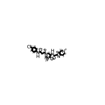 CN1CCc2nc(C(=O)NC(CNC(=S)CC(=O)Nc3ccc(Cl)cc3)C(=O)N(C)C)sc2C1